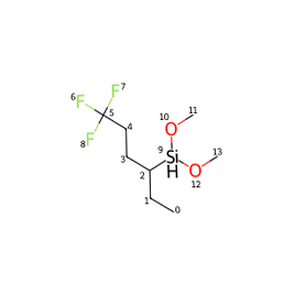 CCC(CCC(F)(F)F)[SiH](OC)OC